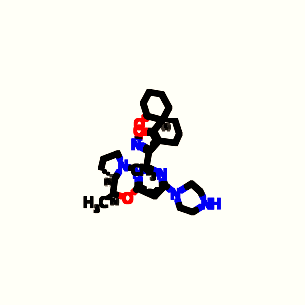 C[C@H](Oc1cc(N2CCNCC2)nc(-c2noc3c2CCC[C@@]32CCCCC2=O)n1)[C@@H]1CCCN1C